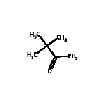 CC(C)(C)C(=O)P